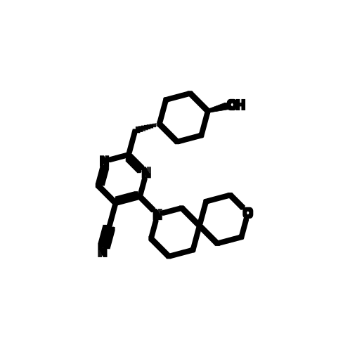 N#Cc1cnc(C[C@H]2CC[C@H](O)CC2)nc1N1CCCC2(CCOCC2)C1